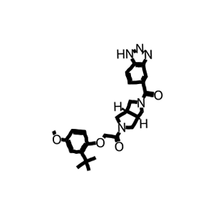 COc1ccc(OCC(=O)N2C[C@@H]3CN(C(=O)c4ccc5[nH]nnc5c4)C[C@H]3C2)c(C(C)(C)C)c1